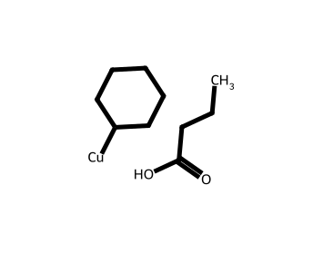 CCCC(=O)O.[Cu][CH]1CCCCC1